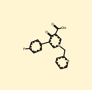 O=C(O)c1cn(Cc2ccccn2)cc(-c2ccc(F)cc2)c1=O